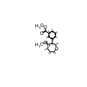 COC(=O)c1cccc(C2COCCCN2OC)c1